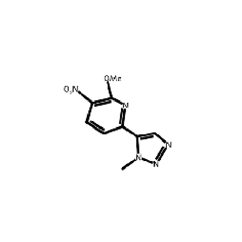 COc1nc(-c2cnnn2C)ccc1[N+](=O)[O-]